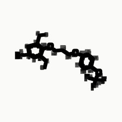 CCc1cc(Br)cc(CC)c1OCCCOc1ccc(OC(F)(F)F)cc1